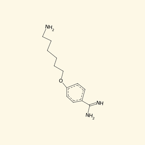 N=C(N)c1ccc(OCCCCCCN)cc1